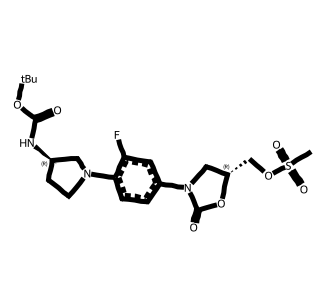 CC(C)(C)OC(=O)N[C@@H]1CCN(c2ccc(N3C[C@H](COS(C)(=O)=O)OC3=O)cc2F)C1